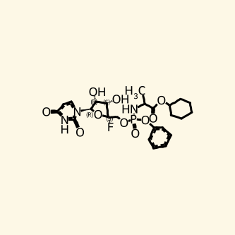 CC(NP(=O)(OC[C@@]1(F)O[C@@H](n2ccc(=O)[nH]c2=O)[C@H](O)[C@@H]1O)Oc1ccccc1)C(=O)OC1CCCCC1